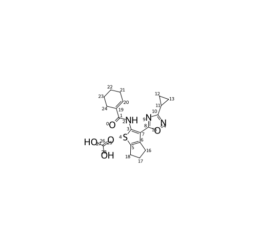 O=C(Nc1sc2c(c1-c1nc(C3CC3)no1)CCC2)C1=CCCCC1.O=C(O)O